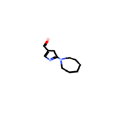 O=CC1=CN=C(N2CCCCCC2)C1